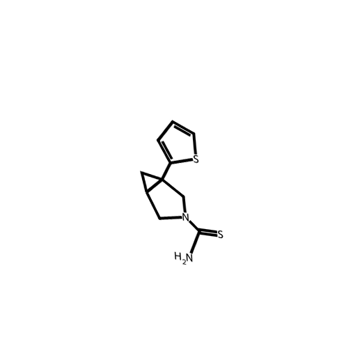 NC(=S)N1CC2CC2(c2cccs2)C1